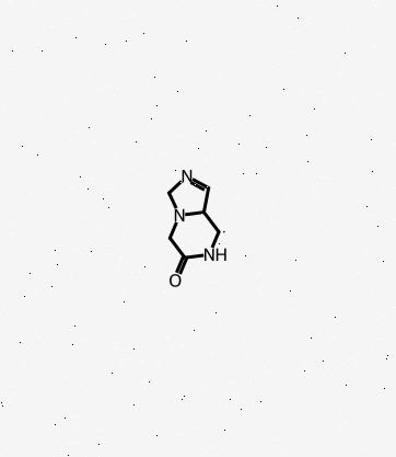 O=C1CN2CN=CC2[CH]N1